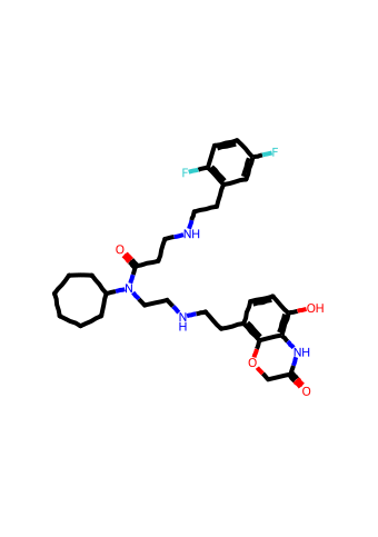 O=C1COc2c(CCNCCN(C(=O)CCNCCc3cc(F)ccc3F)C3CCCCCC3)ccc(O)c2N1